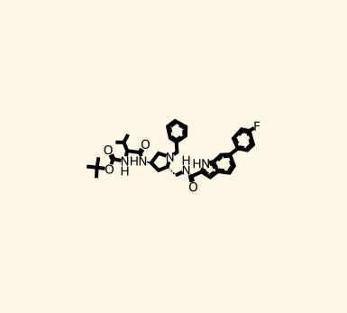 CC(C)C(NC(=O)OC(C)(C)C)C(=O)N[C@H]1C[C@@H](CNC(=O)c2cc3ccc(-c4ccc(F)cc4)cc3[nH]2)N(Cc2ccccc2)C1